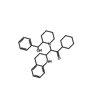 O=C(C1CCCCC1)C(C1CCc2ccccc2N1)N1CCCCC1C(O)c1ccccc1